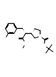 COC(=O)[C@@H](Cc1cccc(Br)c1)[C@H]1CCN(C(=O)OC(C)(C)C)C1